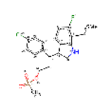 CSCc1c(F)ccc2c1NCC2C(CCOS(C)(=O)=O)c1ccc(Cl)cc1